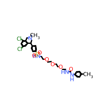 Cc1ccc(NC(=O)NCCOCCOCCOCCNS(=O)(=O)c2ccc(C3CN(C)Cc4c(Cl)cc(Cl)cc43)cc2)cc1